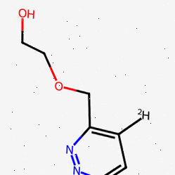 [2H]c1ccnnc1COCCO